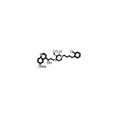 COc1ccc2nccc([C@H](O)CC[C@@H]3CCN(CCCCc4ccccc4Cl)C[C@@H]3CC(=O)O)c2c1